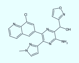 Cn1ccc(-c2nc(N)c(C(O)c3ccon3)nc2-c2cc(Cl)c3ncccc3c2)n1